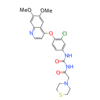 COc1cc2nccc(Oc3ccc(NC(=O)NC(=O)CN4CCSCC4)cc3Cl)c2cc1OC